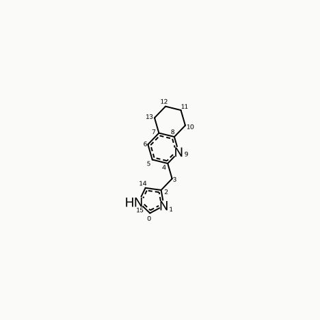 c1nc(Cc2ccc3c(n2)CCCC3)c[nH]1